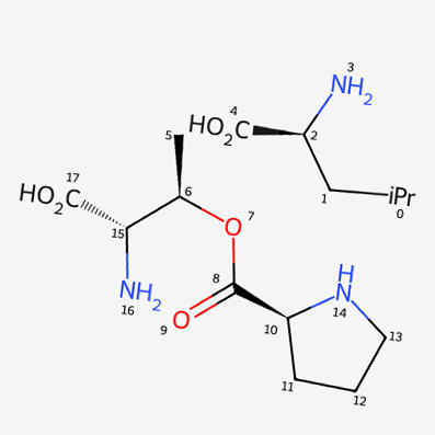 CC(C)C[C@H](N)C(=O)O.C[C@@H](OC(=O)[C@@H]1CCCN1)[C@H](N)C(=O)O